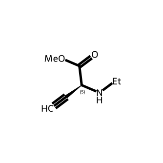 C#C[C@H](NCC)C(=O)OC